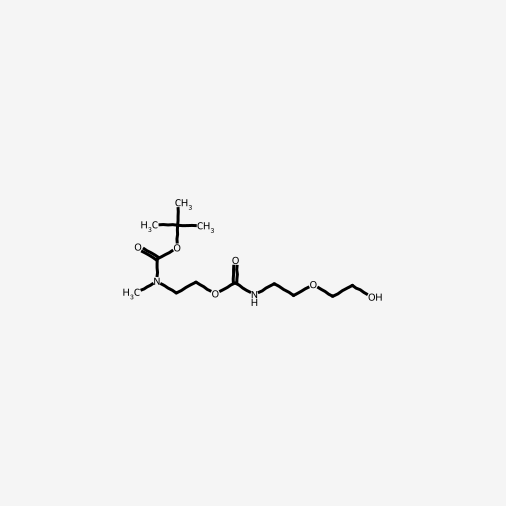 CN(CCOC(=O)NCCOCCO)C(=O)OC(C)(C)C